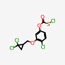 O=C(Oc1ccc(Cl)c(OCC2CC2(Cl)Cl)c1)SCl